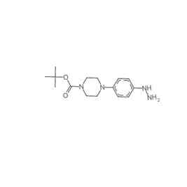 CC(C)(C)OC(=O)N1CCN(c2ccc(NN)cc2)CC1